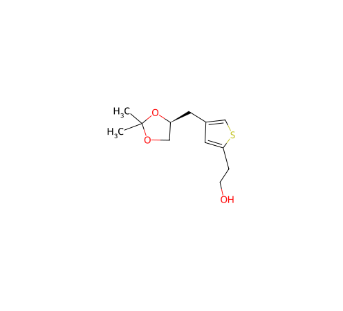 CC1(C)OC[C@H](Cc2csc(CCO)c2)O1